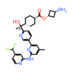 Cc1cc(Nc2cc(C(F)F)ccn2)nc(-c2ccc([C@](C)(O)[C@H]3CC[C@H](C(=O)O[C@H]4C[C@H](N)C4)CC3)nc2)c1